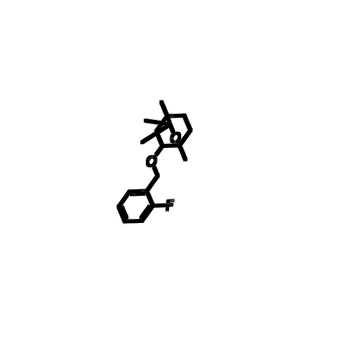 CC12CCC(C)(CC1OCc1ccccc1F)C(C)(C)O2